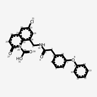 O=C(Cc1cccc(Oc2ccccc2)c1)NCc1cc(Cl)cc2ccc(=O)n(C(=O)O)c12